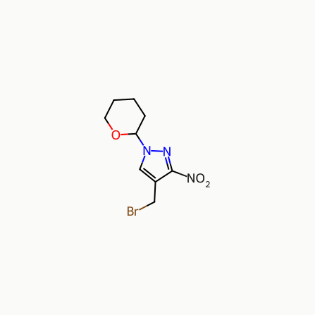 O=[N+]([O-])c1nn(C2CCCCO2)cc1CBr